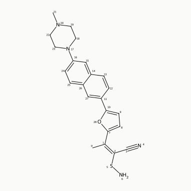 C/C(=C(/C#N)SN)c1ccc(-c2ccc3cc(N4CCN(C)CC4)ccc3c2)o1